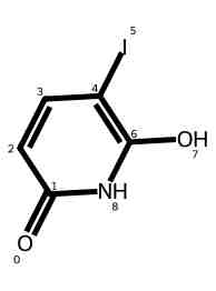 O=c1ccc(I)c(O)[nH]1